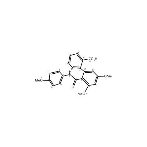 COc1ccc(NC(=O)c2c(OC)cc(OC)cc2-c2ccccc2C(=O)O)cc1